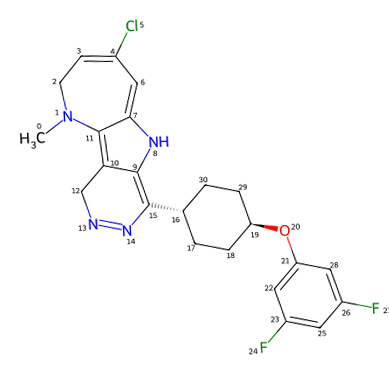 CN1CC=C(Cl)C=c2[nH]c3c(c21)CN=NC=3[C@H]1CC[C@H](Oc2cc(F)cc(F)c2)CC1